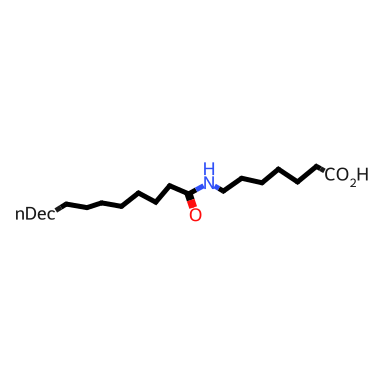 CCCCCCCCCCCCCCCCCC(=O)NCCCCCCC(=O)O